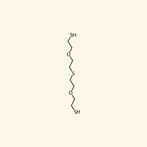 SCCOCCSCCOCCS